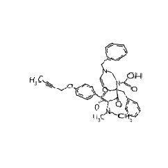 CC#CCOc1ccc(S(=O)(=O)C(C(=O)C2(Cc3ccccc3)CC=CN(Cc3ccccc3)CN2C(=O)O)N(C)C)cc1